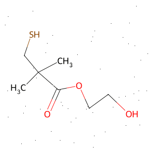 CC(C)(CS)C(=O)OCCO